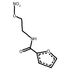 O=C(NCCO[N+](=O)[O-])c1ccco1